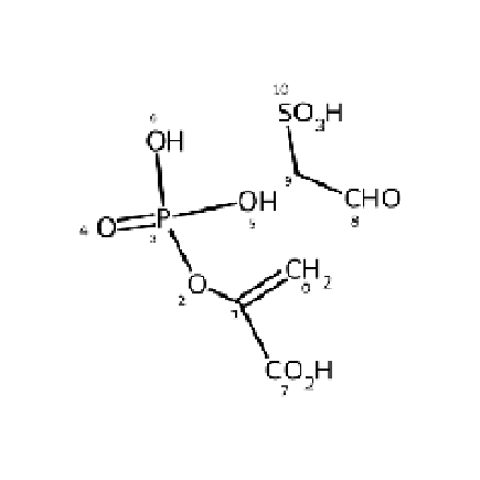 C=C(OP(=O)(O)O)C(=O)O.O=CCS(=O)(=O)O